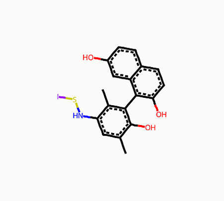 Cc1cc(NSI)c(C)c(-c2c(O)ccc3ccc(O)cc23)c1O